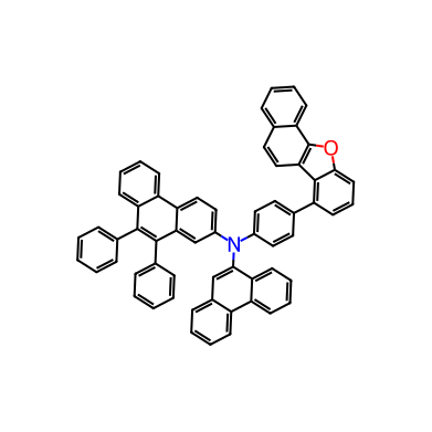 c1ccc(-c2c(-c3ccccc3)c3cc(N(c4ccc(-c5cccc6oc7c8ccccc8ccc7c56)cc4)c4cc5ccccc5c5ccccc45)ccc3c3ccccc23)cc1